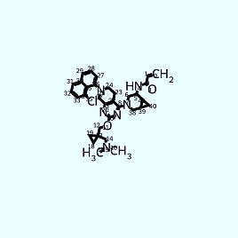 C=CC(=O)NC1CN(c2nc(OCC3(CN(C)C)CC3)nc3c2CCN(c2cccc4cccc(Cl)c24)C3)CC2CC21